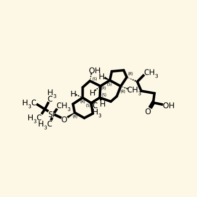 CC(CCC(=O)O)[C@H]1CC[C@H]2[C@@H]3[C@@H](O)C[C@@H]4C[C@H](O[Si](C)(C)C(C)(C)C)CC[C@]4(C)[C@H]3CC[C@]12C